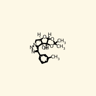 Cc1cccc(-c2nnn3c2[C@@]2(O)[C@@H](C3)O[C@@H]3OC(C)(C)O[C@@H]32)c1